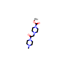 CN1CCN(C(=O)CN2CCN(C(=O)OC(C)(C)C)CC2)CC1